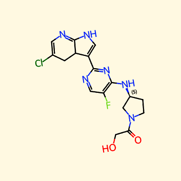 O=C(CO)N1CC[C@H](Nc2nc(C3=CNC4=NC=C(Cl)CC34)ncc2F)C1